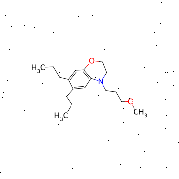 CCCc1cc2c(cc1CCC)N(CCCOC)CCO2